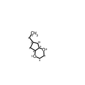 CCC1CC2OCCOC2C1